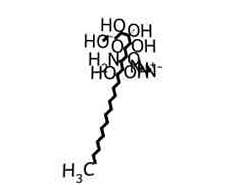 CCCCCCCCCCCCCCC(O)C(O)C(N)C(ON=[N+]=[N-])C1O[C@H](CO)[C@H](O)[C@H](O)[C@H]1O